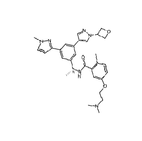 Cc1ccc(OCCN(C)C)cc1C(=O)N[C@H](C)c1cc(-c2cnn(C3COC3)c2)cc(-c2ccn(C)n2)c1